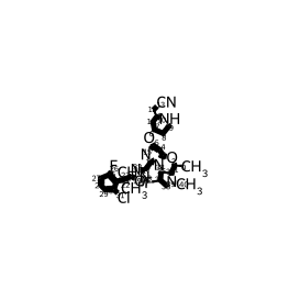 C[C@H](Oc1cc(O[C@H]2CCN[C@H](CC#N)C2)nc(-c2noc(C(C)(C)c3c(F)cccc3Cl)n2)n1)[C@@H]1C[C@H](F)CN1C